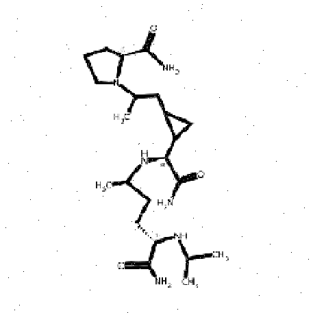 CC(C)N[C@@H](CCC(C)N[C@H](C(N)=O)C1CC1CC(C)N1CCC[C@H]1C(N)=O)C(N)=O